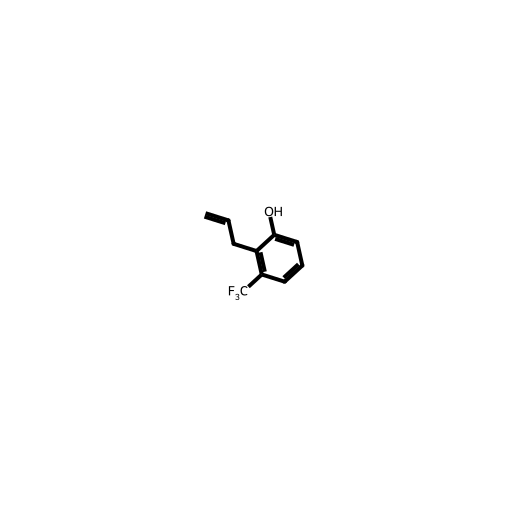 C=CCc1c(O)cccc1C(F)(F)F